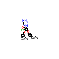 COc1ccc(COc2ccc(C(=O)NCCCN)c(Cl)c2OCc2ccc(OC)cc2)cc1